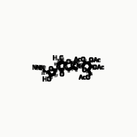 CC(=O)OCC1O[C@H](n2cc(Cn3c(=O)c(C)cn([C@H]4CC(O)[C@@H](CN=[N+]=[N-])O4)c3=O)nn2)C(OC(C)=O)C(OC(C)=O)[C@H]1OC(C)=O